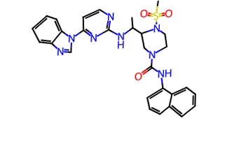 CC(Nc1nccc(-n2cnc3ccccc32)n1)C1CN(C(=O)Nc2cccc3ccccc23)CCN1S(C)(=O)=O